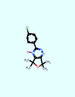 CC1(C)OC(C)(C)c2c1nnc(-c1ccc(Cl)cc1)[n+]2[O-]